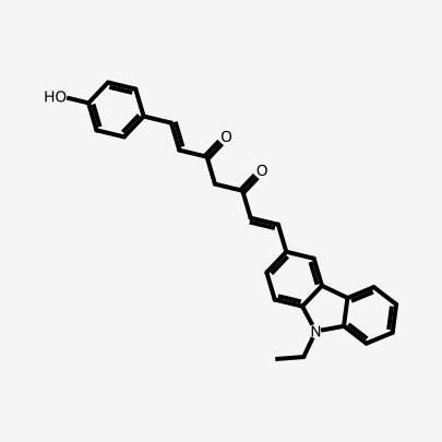 CCn1c2ccccc2c2cc(/C=C/C(=O)CC(=O)/C=C/c3ccc(O)cc3)ccc21